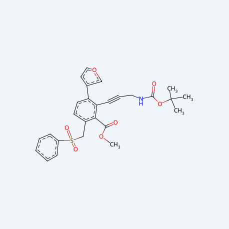 COC(=O)c1c(CS(=O)(=O)c2ccccc2)ccc(-c2ccoc2)c1C#CCNC(=O)OC(C)(C)C